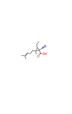 CCC1C(C)(CCC=C(C)C)C1(C#N)C(=O)O